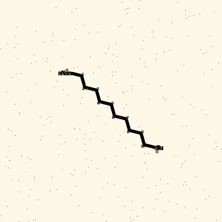 CCCCCCCCCCCCCCCCCCCC(C)(C)C